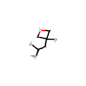 CCCCC(CC)CC1(CC)COC1